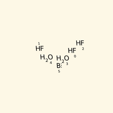 F.F.F.O.O.[B]